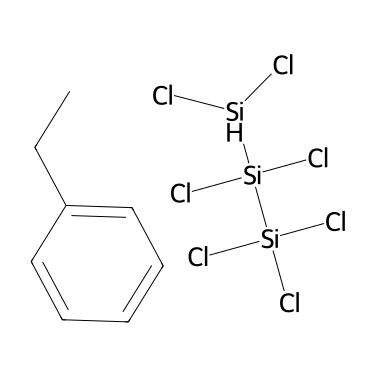 CCc1ccccc1.Cl[SiH](Cl)[Si](Cl)(Cl)[Si](Cl)(Cl)Cl